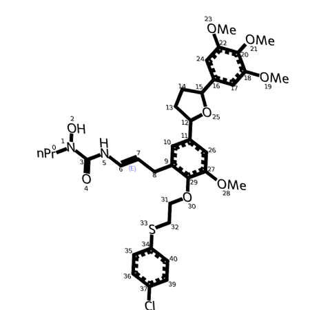 CCCN(O)C(=O)N/C=C/Cc1cc(C2CCC(c3cc(OC)c(OC)c(OC)c3)O2)cc(OC)c1OCCSc1ccc(Cl)cc1